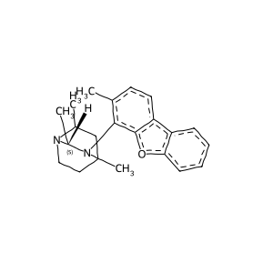 Cc1ccc2c(oc3ccccc32)c1N1[C@@H](C)N2CCC1(C)CC2C